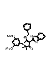 COc1cc(OC)cc(N2C(NCc3ccccc3)=C(c3nc4ccccc4[nH]3)C(=O)C2(C)C)c1